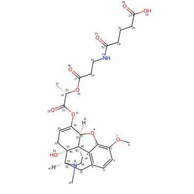 COc1ccc2c3c1O[C@@H]1C(OC(=O)[C@H](C)OC(=O)CCNC(=O)CCCC(=O)O)=CC[C@]4(O)[C@H](C2)N(C)CC[C@@]314